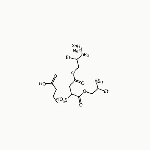 CCCC(=O)O.CCCCC(CC)COC(=O)CC(C(=O)OCC(CC)CCCC)S(=O)(=O)O.[NaH].[SnH2]